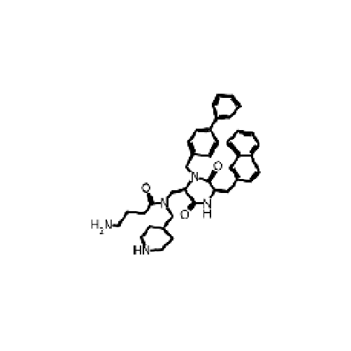 NCCCC(=O)N(CC1CCNCC1)CC1C(=O)NC(Cc2ccc3ccccc3c2)C(=O)N1Cc1ccc(-c2ccccc2)cc1